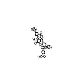 COc1ccc(-n2cnnn2)cc1C(=O)N1CCC(CCN2CCC(NC(=O)N3CCC(C(=O)O)CC3)(c3ccncc3)CC2)(c2ccc(Cl)c(Cl)c2)C1